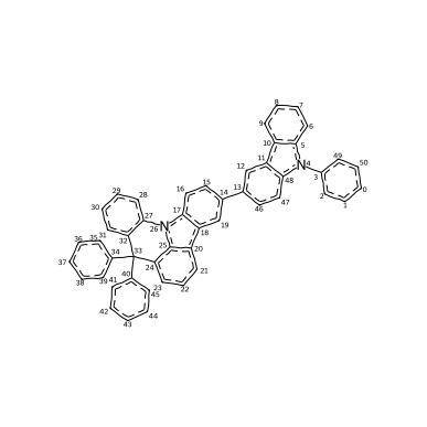 c1ccc(-n2c3ccccc3c3cc(-c4ccc5c(c4)c4cccc6c4n5-c4ccccc4C6(c4ccccc4)c4ccccc4)ccc32)cc1